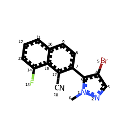 Cn1ncc(Br)c1-c1ccc2cccc(F)c2c1C#N